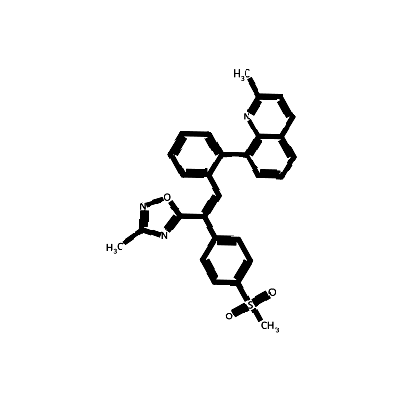 Cc1ccc2c[c]cc(-c3ccccc3C=C(c3ccc(S(C)(=O)=O)cc3)c3nc(C)no3)c2n1